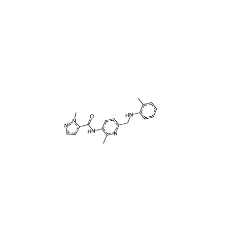 Cc1ccccc1NCc1ccc(NC(=O)c2ccnn2C)c(C)n1